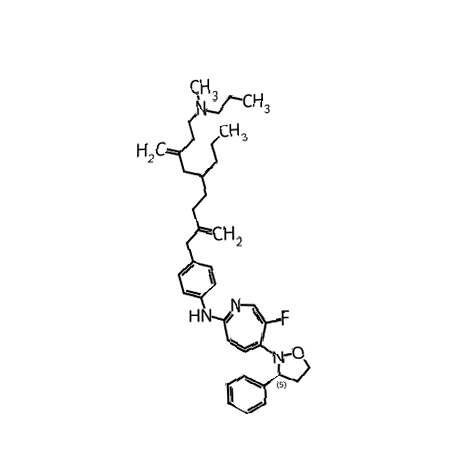 C=C(CCC(CCC)CC(=C)CCN(C)CCC)Cc1ccc(NC2=NC=C(F)C(N3OCC[C@H]3c3ccccc3)=C=C2)cc1